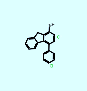 [Cl-].[Cl-].[Ti+2][c]1ccc(-c2ccccc2)c2c1Cc1ccccc1-2